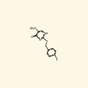 COc1c[nH]c(SCc2ccc(F)cc2)nc1=O